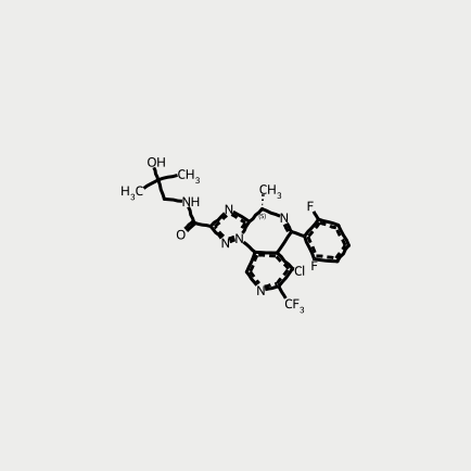 C[C@@H]1N=C(c2c(F)cccc2F)c2c(cnc(C(F)(F)F)c2Cl)-n2nc(C(=O)NCC(C)(C)O)nc21